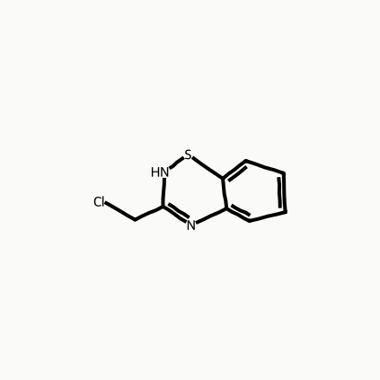 ClCC1=Nc2ccccc2SN1